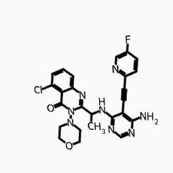 CC(Nc1ncnc(N)c1C#Cc1ccc(F)cn1)c1nc2cccc(Cl)c2c(=O)n1N1CCOCC1